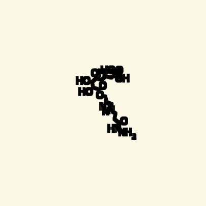 NNC(=O)CCn1cc(CO[C@H]2OC(CCP(=O)(O)O)[C@@H](O)C(O)[C@H]2O)nn1